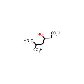 O=C(O)CC(O)CC(C(=O)O)C(=O)O